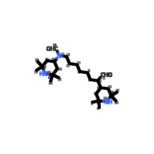 CC1(C)CC(C(C=O)CCCCCCN(C=O)C2CC(C)(C)NC(C)(C)C2)CC(C)(C)N1